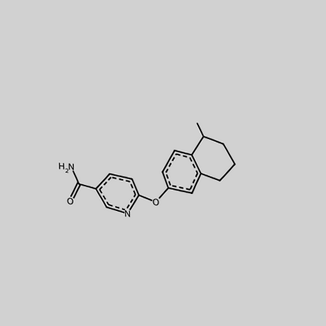 CC1CCCc2cc(Oc3ccc(C(N)=O)cn3)ccc21